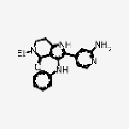 CCN1CCc2[nH]c(-c3ccnc(N)c3)c(Nc3ccccc3)c2C1=O